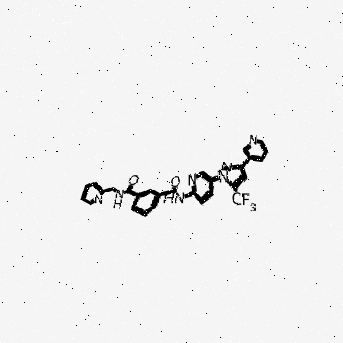 O=C(NCc1ccccn1)c1cccc(C(=O)Nc2ccc(-n3nc(-c4cccnc4)cc3C(F)(F)F)cn2)c1